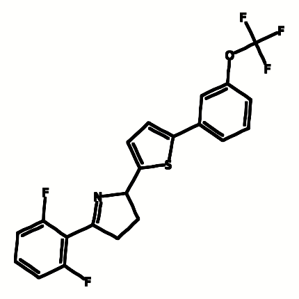 Fc1cccc(F)c1C1=NC(c2ccc(-c3cccc(OC(F)(F)F)c3)s2)CC1